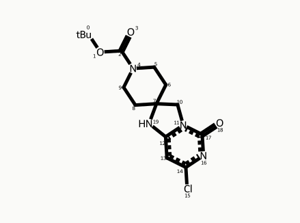 CC(C)(C)OC(=O)N1CCC2(CC1)Cn1c(cc(Cl)nc1=O)N2